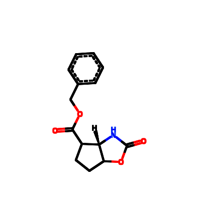 O=C1N[C@@H]2C(CCC2C(=O)OCc2ccccc2)O1